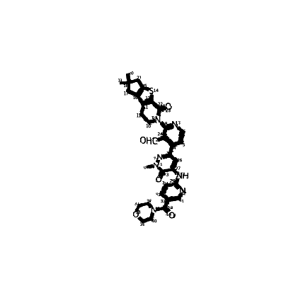 Cn1nc(-c2ccnc(N3CCc4c(sc5c4CC(C)(C)C5)C3=O)c2C=O)cc(Nc2ccc(C(=O)N3CCOCC3)cn2)c1=O